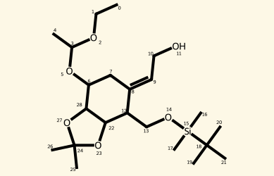 CCOC(C)OC1CC(=CCO)C(CO[Si](C)(C)C(C)(C)C)C2OC(C)(C)OC12